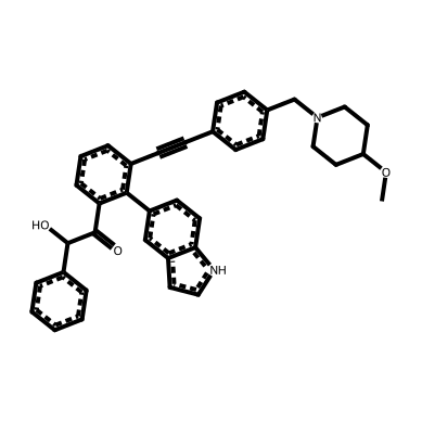 COC1CCN(Cc2ccc(C#Cc3cccc(C(=O)C(O)c4ccccc4)c3-c3ccc4[nH]ccc4c3)cc2)CC1